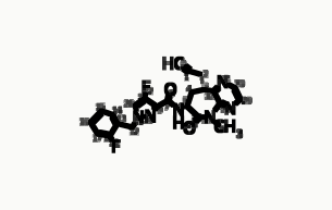 C#CC[C@H]1C[C@@H](NC(=O)c2nn(Cc3ccccc3F)cc2F)C(=O)N(C)c2nccnc21